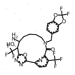 NC1CCCCN(Cc2ccc3c(c2)OC(F)(F)O3)C(=O)c2nc(ccc2C(F)(F)F)-c2nnc(o2)[C@@]1(O)C(F)(F)F